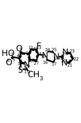 CC1Sc2c(C(=O)O)c(=O)c3cc(F)c(N4CCN(c5ncccn5)CC4)cc3n21